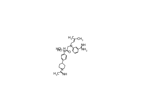 CC(=N)N1CCC(c2ccc(NC(=O)CN(CC=C(C)C)c3cccc(C(=N)N)c3)cc2)CC1.Cl.Cl